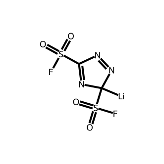 [Li][C]1(S(=O)(=O)F)N=NC(S(=O)(=O)F)=N1